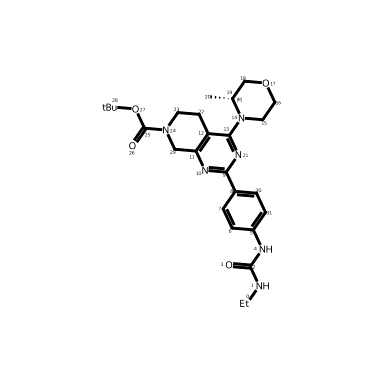 CCNC(=O)Nc1ccc(-c2nc3c(c(N4CCOC[C@H]4C)n2)CCN(C(=O)OC(C)(C)C)C3)cc1